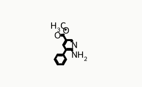 COC(=O)c1cnc(N)c(-c2ccccc2)c1